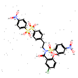 COc1ccc(Cl)cc1C(=O)N(CCc1ccc(S(=O)(=O)S(=O)(=O)c2ccc([N+](=O)[O-])cc2)cc1)S(=O)(=O)c1ccc([N+](=O)[O-])cc1